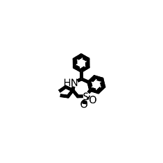 CCC1(CC)CS(=O)(=O)c2ccccc2C(c2ccccc2)N1